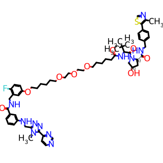 Cc1ncsc1-c1ccc(CNC(=O)[C@@H]2C[C@@H](O)CN2C(=O)C(NC(=O)CCCCCOCCOCCOCCCCCCOc2ccc(F)c(CNC(=O)c3cccc(NCc4nnc(-c5ccncn5)n4C)c3)c2)C(C)(C)C)cc1